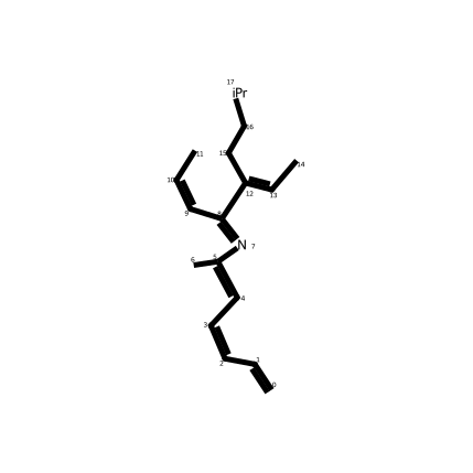 C=C\C=C/C=C(C)/N=C(\C=C/C)C(=C/C)/CCC(C)C